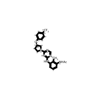 CC(=O)Nc1cccc(Nc2ncnc(N3CC[C@@H](Oc4ccc(C(F)(F)F)cc4)C3)n2)c1C